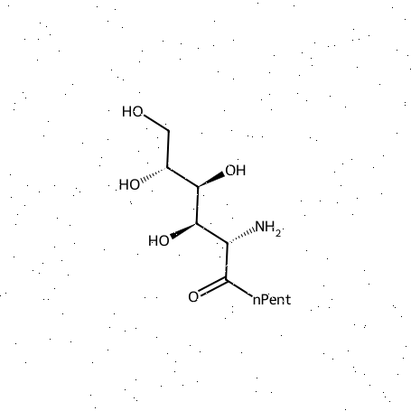 CCCCCC(=O)[C@@H](N)[C@@H](O)[C@H](O)[C@H](O)CO